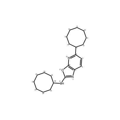 B(c1nc2ccc(C3CCCCCCC3)nc2o1)C1CCCCCCC1